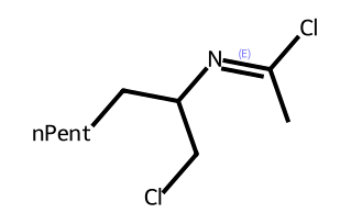 CCCCCCC(CCl)/N=C(\C)Cl